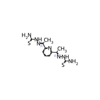 C/C(=N\NC(N)=S)c1cccc(/C(C)=N/NC(N)=S)n1